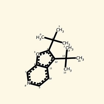 CC(C)(C)c1oc2cnccc2c1C(C)(C)C